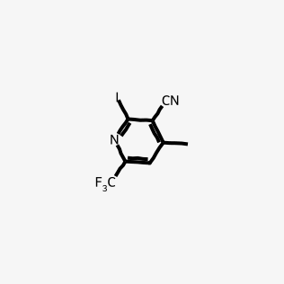 Cc1cc(C(F)(F)F)nc(I)c1C#N